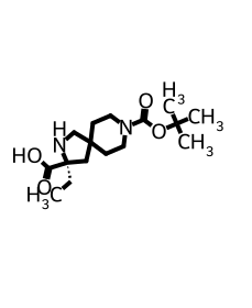 CC[C@@]1(C(=O)O)CC2(CCN(C(=O)OC(C)(C)C)CC2)CN1